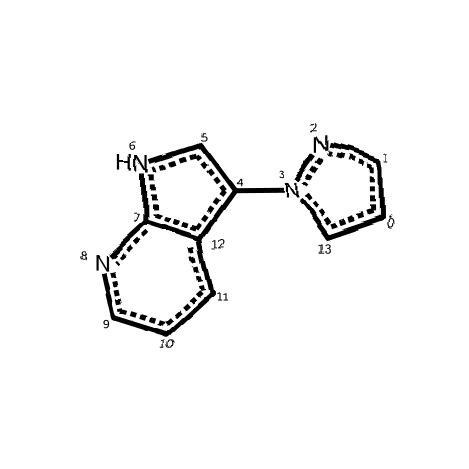 [c]1cnn(-c2c[nH]c3ncccc23)c1